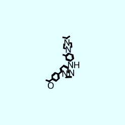 CC(=O)c1ccc(-c2ccc(Nc3ccc(N4CCN(C(C)C)CC4)c(C)c3)c3nccn23)cc1